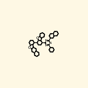 c1ccc(-c2nc(-c3ccc4ccccc4c3)nc(-c3ccc(-c4cccc5oc6cc7ccccc7cc6c45)c4oc5ccccc5c34)n2)cc1